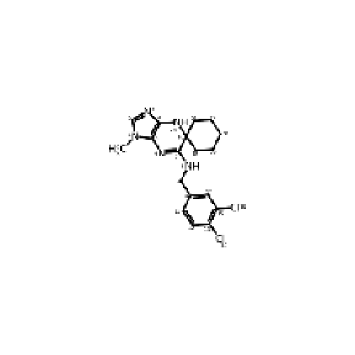 Cn1cnc2c1N=C(NCc1ccc(Cl)c(Cl)c1)C1(CCCCC1)N2